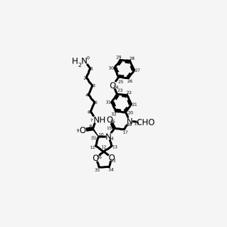 NCCCCCCNC(=O)[C@@H]1CC2(CN1C(=O)CN(C=O)c1ccc(Oc3ccccc3)cc1)OCCO2